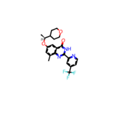 Cc1cc(O[C@@H](C)C2CCOCC2)cc2c(=O)[nH]c(-c3cc(C(F)(F)F)ccn3)nc12